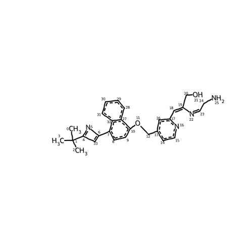 CC(C)(C)C1=NC(c2ccc(OCc3ccnc(C=C(CO)/N=C\CN)c3)c3ccccc23)=C1